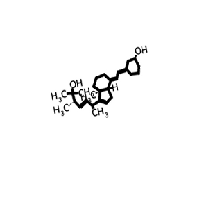 CC(/C=C/[C@H](C)C(C)(C)O)C1=CC[C@H]2/C(=C/C=C3\CCC[C@H](O)C3)CCC[C@]12C